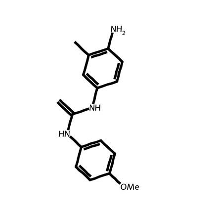 C=C(Nc1ccc(OC)cc1)Nc1ccc(N)c(C)c1